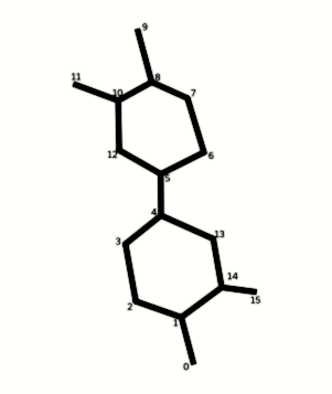 CC1CCC(C2CCC(C)C(C)C2)CC1C